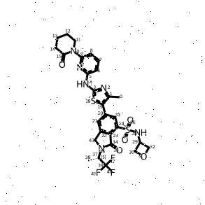 Cc1nc(Nc2cccc(N3CCCCC3=O)n2)sc1-c1cc2c(c(S(=O)(=O)NC3COC3)c1)C(=O)N([C@@H](C)C(F)(F)F)C2